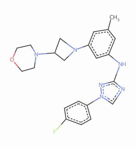 Cc1cc(Nc2ncn(-c3ccc(F)cc3)n2)cc(N2CC(N3CCOCC3)C2)c1